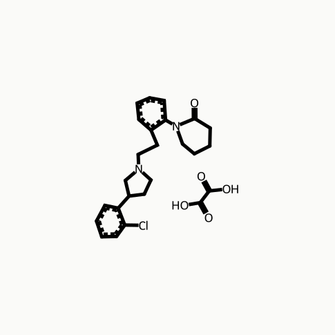 O=C(O)C(=O)O.O=C1CCCCN1c1ccccc1CCN1CCC(c2ccccc2Cl)C1